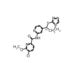 COc1nc(C(=O)Nc2cc([C@H](C)Sc3nncn3C)ccn2)ccc1Cl